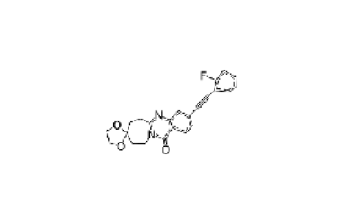 O=c1c2ccc(C#Cc3ccccc3F)cc2nc2n1CCC1(CC2)OCCO1